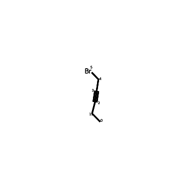 C[CH]C#CCBr